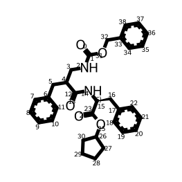 O=C(NCC(Cc1ccccc1)C(=O)N[C@@H](Cc1ccccc1)C(=O)OC1CCCC1)OCc1ccccc1